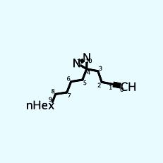 C#CCCC1(CCCCCCCCCC)N=N1